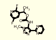 C[C@@H](OC(=O)Nc1c(-c2nc[c]cn2)nnn1C)c1cc(F)cnc1F